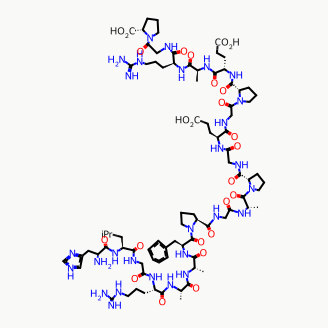 CC(C)C[C@H](NC(=O)[C@@H](N)Cc1c[nH]cn1)C(=O)NCC(=O)N[C@@H](CCCNC(=N)N)C(=O)N[C@@H](C)C(=O)N[C@@H](C)C(=O)N[C@@H](Cc1ccccc1)C(=O)N1CCC[C@H]1C(=O)NCC(=O)N[C@@H](C)C(=O)N1CCC[C@H]1C(=O)NCC(=O)N[C@@H](CCC(=O)O)C(=O)NCC(=O)N1CCC[C@H]1C(=O)N[C@@H](CCC(=O)O)C(=O)N[C@@H](C)C(=O)N[C@@H](CCCNC(=N)N)C(=O)NCC(=O)N1CCC[C@H]1C(=O)O